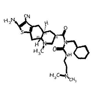 CN(C)CCNC(=O)N(CC1CCCCC1)C(=O)[C@@H]1C[C@@H]2Cc3c(sc(N)c3C#N)C[C@H]2N(C)C1